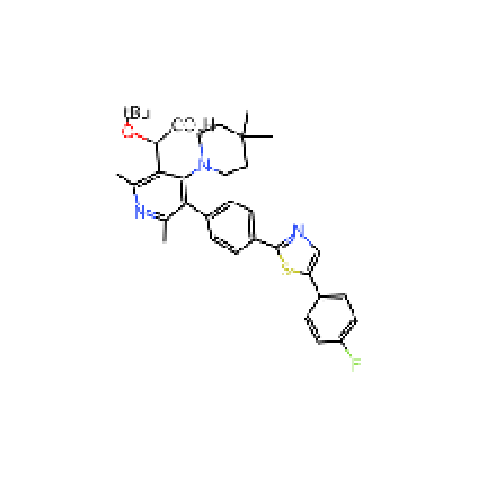 Cc1nc(C)c(C(OC(C)(C)C)C(=O)O)c(N2CCC(C)(C)CC2)c1-c1ccc(-c2ncc(-c3ccc(F)cc3)s2)cc1